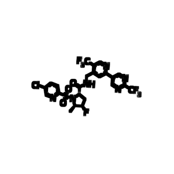 C[C@@H]1[C@H](F)C[C@H](C(=O)NCc2cc(-c3cnc(C(F)(F)F)nc3)ncc2C(F)(F)F)N1S(=O)(=O)c1ccc(Cl)cn1